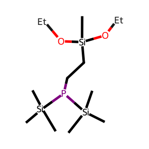 CCO[Si](C)(CCP([Si](C)(C)C)[Si](C)(C)C)OCC